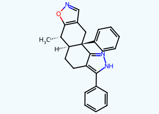 C[C@@H]1c2oncc2C[C@]2(c3ccccc3)c3n[nH]c(-c4ccccc4)c3CC[C@@H]12